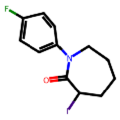 O=C1C(I)CCCCN1c1ccc(F)cc1